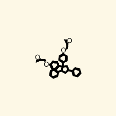 c1ccc(C2CC(c3ccccc3)C(c3ccc(OCC4CO4)cc3)(c3ccc(OCC4CO4)cc3)C2)cc1